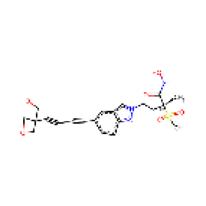 C[C@@](CCn1cc2cc(C#CC#CC3(CO)COC3)ccc2n1)(C(=O)NO)S(C)(=O)=O